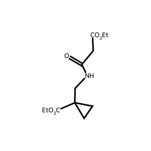 CCOC(=O)CC(=O)NCC1(C(=O)OCC)CC1